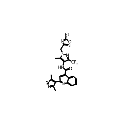 CCc1nc(Cn2nc(C(F)(F)F)c(NC(=O)c3cc(-c4c(C)noc4C)nc4ccccc34)c2C)no1